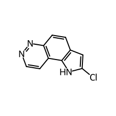 Clc1cc2ccc3nnccc3c2[nH]1